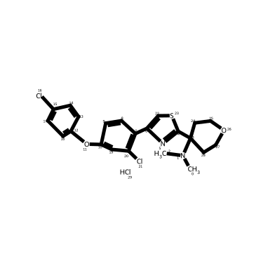 CN(C)C1(c2nc(-c3ccc(Oc4ccc(Cl)cc4)cc3Cl)cs2)CCOCC1.Cl